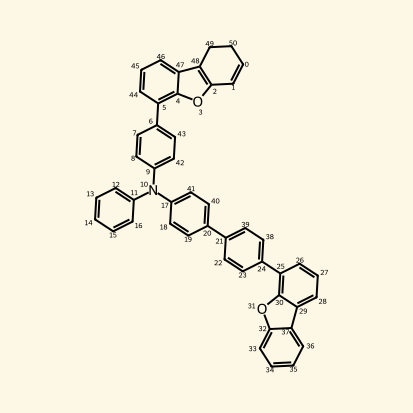 C1=Cc2oc3c(-c4ccc(N(c5ccccc5)c5ccc(-c6ccc(-c7cccc8c7oc7ccccc78)cc6)cc5)cc4)cccc3c2CC1